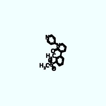 Cc1c(-c2cccn(-c3ccncc3)c2=O)cccc1S(C)(=O)=O